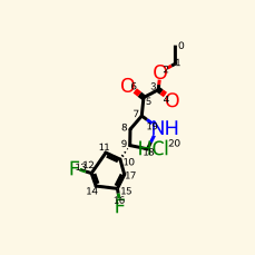 CCOC(=O)C(=O)C1C[C@@H](c2cc(F)cc(F)c2)CN1.Cl